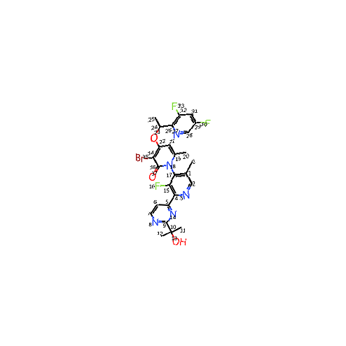 Cc1cnc(-c2ccnc(C(C)(C)O)n2)c(F)c1-n1c(C)cc(OC(C)c2ncc(F)cc2F)c(Br)c1=O